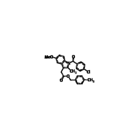 COc1ccc2c(c1)c(CC(=O)OCc1ccc(C)cc1)c(C)n2C(=O)c1ccc(Cl)cc1